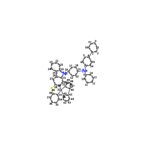 c1ccc(-c2ccc(N(c3ccccc3)c3ccc(-n4c5ccccc5c5cc6c(cc54)C4(c5ccccc5S6)c5ccccc5-c5ccccc54)cc3)cc2)cc1